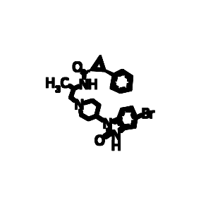 CC(CN1CCC(n2c(=O)[nH]c3cc(Br)ccc32)CC1)NC(=O)[C@@H]1C[C@H]1c1ccccc1